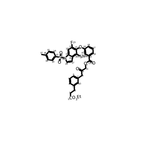 CCOC(=O)CCc1cccc(CC(=O)COC(=O)c2cccc(Oc3c(F)cc4c(ccn4S(=O)(=O)c4ccc(C)cc4)c3SC)c2)c1